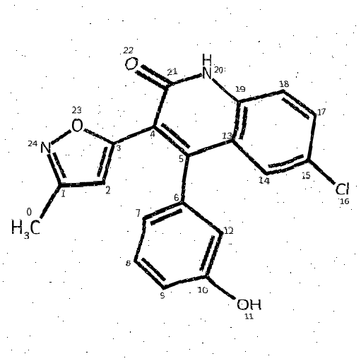 Cc1cc(-c2c(-c3cccc(O)c3)c3cc(Cl)ccc3[nH]c2=O)on1